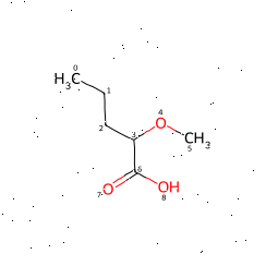 CCCC(OC)C(=O)O